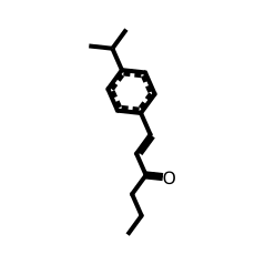 CCCC(=O)C=Cc1ccc(C(C)C)cc1